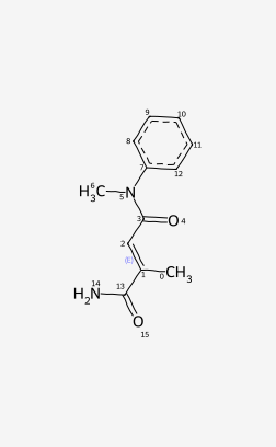 C/C(=C\C(=O)N(C)c1ccccc1)C(N)=O